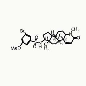 COc1cc(Br)cc(S(=O)(=O)NC2CC[C@H]3[C@@H]4CCC5N(C)C(=O)C=C[C@]5(C)[C@@H]4CC[C@]23C)c1